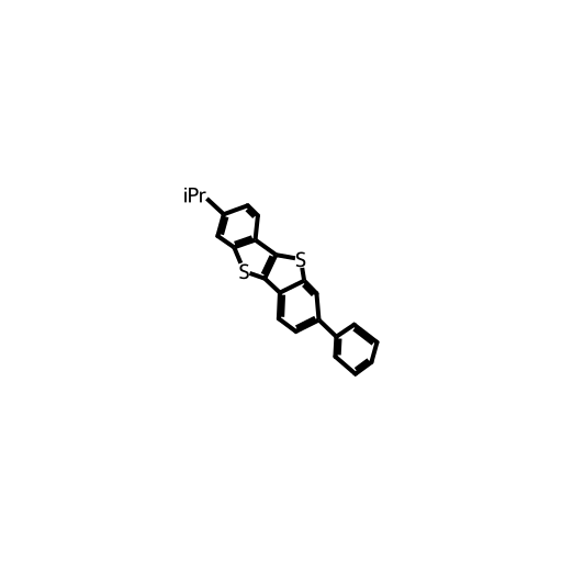 CC(C)c1ccc2c(c1)sc1c3ccc(-c4ccccc4)cc3sc21